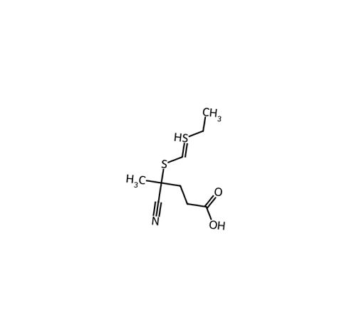 CC[SH]=CSC(C)(C#N)CCC(=O)O